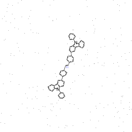 C(=C\c1ccc(-c2ccc3c(c2)c2ccccc2n3-c2ccccc2)cc1)/c1ccc(-c2ccc3c(c2)c2ccccc2n3-c2ccccc2)cc1